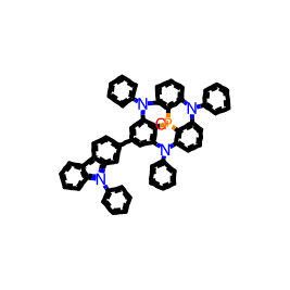 O=P12c3c4cccc3N(c3ccccc3)c3cc(-c5ccc6c7ccccc7n(-c7ccccc7)c6c5)cc(c31)N(c1ccccc1)c1cccc(c12)N4c1ccccc1